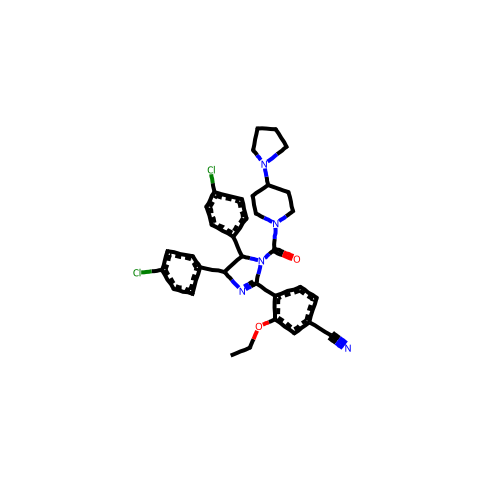 CCOc1cc(C#N)ccc1C1=NC(c2ccc(Cl)cc2)C(c2ccc(Cl)cc2)N1C(=O)N1CCC(N2CCCC2)CC1